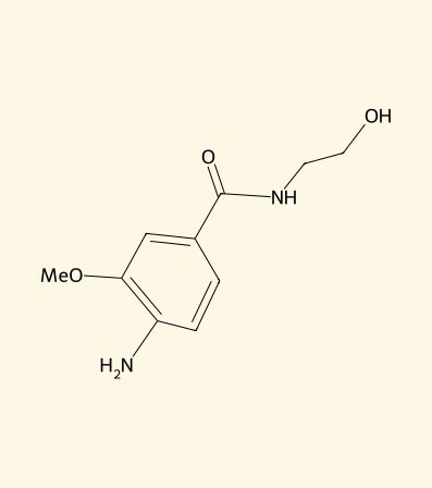 COc1cc(C(=O)NCCO)ccc1N